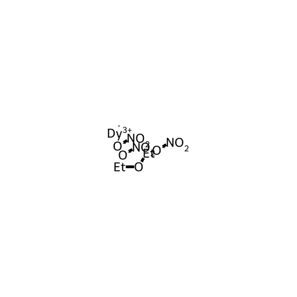 CCOCC.O=[N+]([O-])[O-].O=[N+]([O-])[O-].O=[N+]([O-])[O-].[Dy+3]